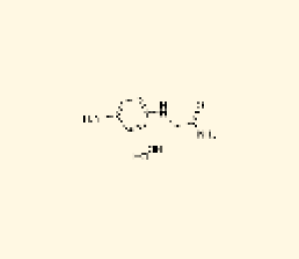 Cl.Cl.NC(=O)CNc1ccc(N)cc1